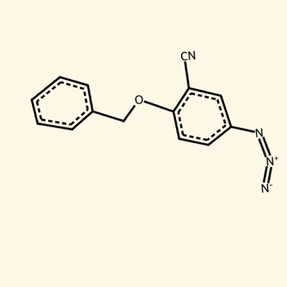 N#Cc1cc(N=[N+]=[N-])ccc1OCc1ccccc1